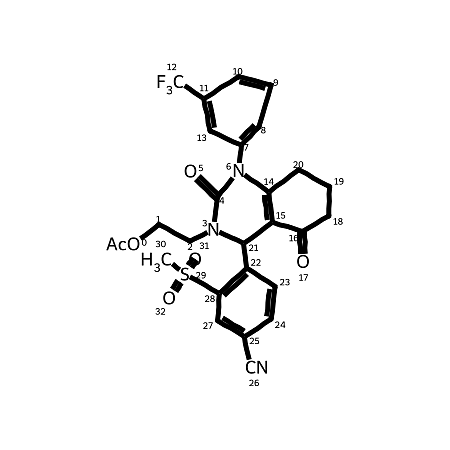 CC(=O)OCCN1C(=O)N(c2cccc(C(F)(F)F)c2)C2=C(C(=O)CCC2)C1c1ccc(C#N)cc1S(C)(=O)=O